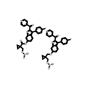 O=C(c1ccncc1)c1sc2cc(OC(=O)C3(CO[N+](=O)[O-])CC3)ccc2c1-c1ccc(F)cc1.O=C(c1ccncc1)c1sc2cc(OCC3(CO[N+](=O)[O-])CC3)ccc2c1-c1ccc(F)cc1